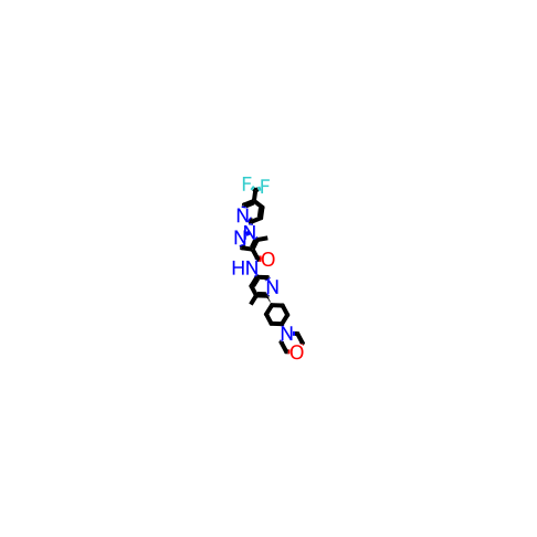 Cc1cc(NC(=O)c2cnn(-c3ccc(C(F)F)cn3)c2C)cnc1[C@H]1CC[C@H](N2CCOCC2)CC1